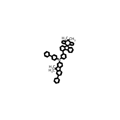 CC1(C)c2cc(-c3ccccc3)ccc2-c2ccc(N(c3ccc(-c4ccccc4)cc3)c3cccc(-c4cccc5c4-c4ccccc4C54c5ccccc5C(C)(C)c5ccccc54)c3)cc21